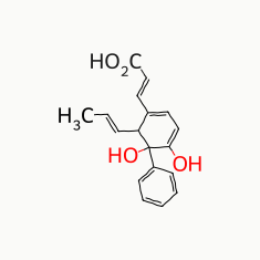 CC=CC1C(C=CC(=O)O)=CC=C(O)C1(O)c1ccccc1